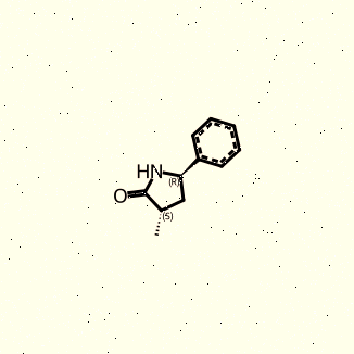 C[C@H]1C[C@H](c2ccccc2)NC1=O